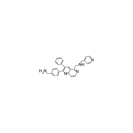 NCc1ccc(-c2nc3ccnc(CNCc4ccncc4)c3cc2-c2ccccc2)cc1